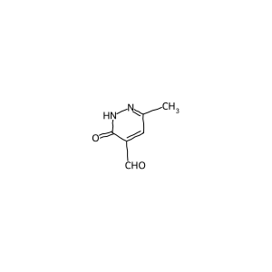 Cc1cc(C=O)c(=O)[nH]n1